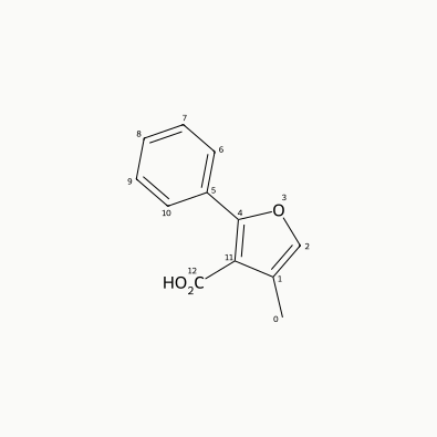 Cc1coc(-c2ccccc2)c1C(=O)O